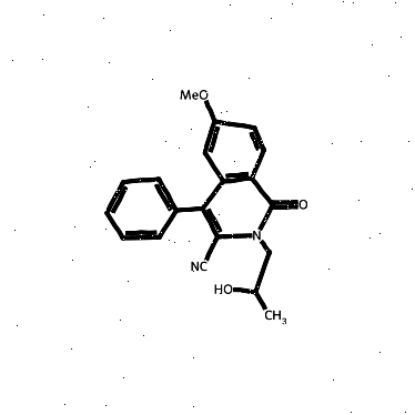 COc1ccc2c(=O)n(CC(C)O)c(C#N)c(-c3ccccc3)c2c1